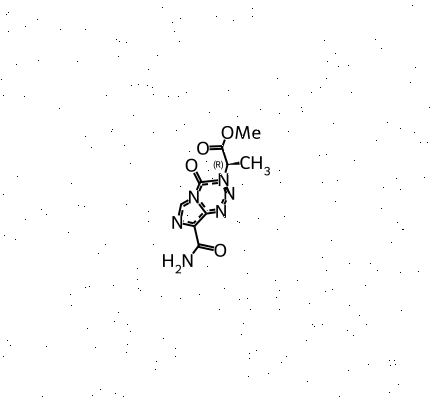 COC(=O)[C@@H](C)n1nnc2c(C(N)=O)ncn2c1=O